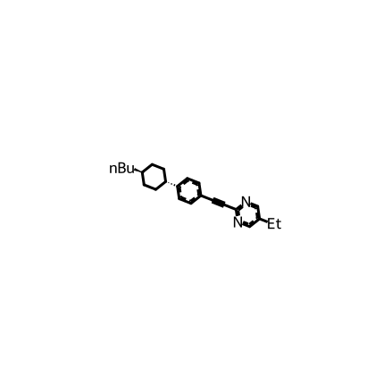 CCCC[C@H]1CC[C@H](c2ccc(C#Cc3ncc(CC)cn3)cc2)CC1